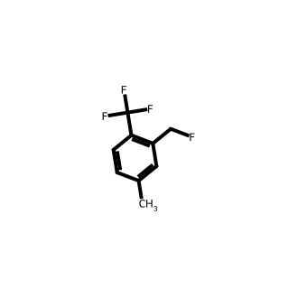 Cc1ccc(C(F)(F)F)c(CF)c1